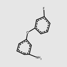 Nc1cccc(Oc2cccc(F)c2)c1